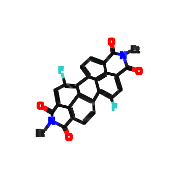 CCN1C(=O)c2ccc3c4c(F)cc5c6c(ccc(c7c(F)cc(c2c37)C1=O)c64)C(=O)N(CC)C5=O